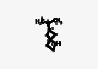 CC(C)N1CC2(CCN2)C1